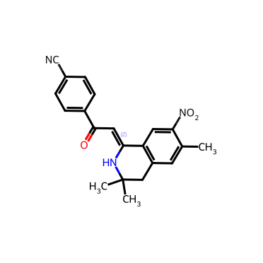 Cc1cc2c(cc1[N+](=O)[O-])/C(=C/C(=O)c1ccc(C#N)cc1)NC(C)(C)C2